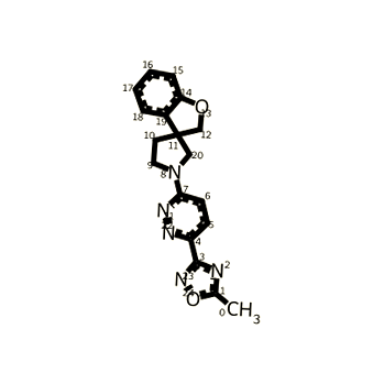 Cc1nc(-c2ccc(N3CCC4(COc5ccccc54)C3)nn2)no1